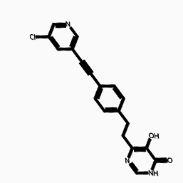 O=c1[nH]cnc(CCc2ccc(C#Cc3cncc(Cl)c3)cc2)c1O